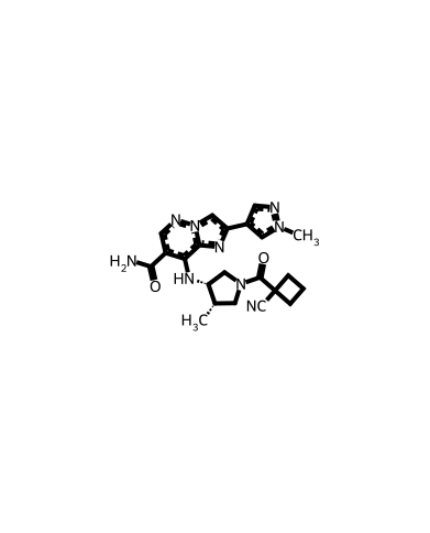 C[C@H]1CN(C(=O)C2(C#N)CCC2)C[C@H]1Nc1c(C(N)=O)cnn2cc(-c3cnn(C)c3)nc12